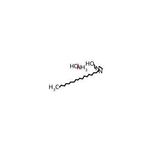 CCCCCCCCCCCCCCCCCCC1=NCCN1CCO.Cl.N